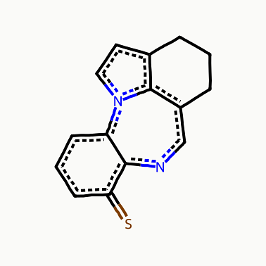 S=c1cccc2n3ccc4c3c(cnc1-2)CCC4